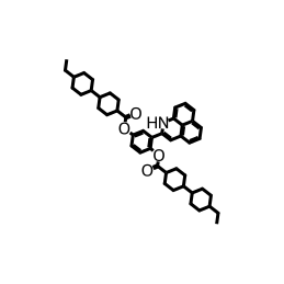 CCC1CCC(C2CCC(C(=O)Oc3ccc(OC(=O)C4CCC(C5CCC(CC)CC5)CC4)c(C4=Cc5cccc6cccc(c56)N4)c3)CC2)CC1